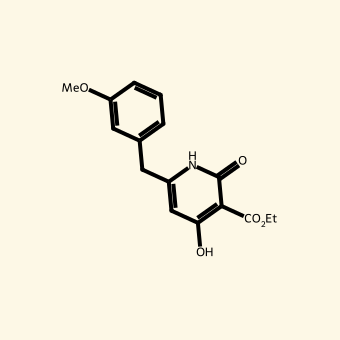 CCOC(=O)c1c(O)cc(Cc2cccc(OC)c2)[nH]c1=O